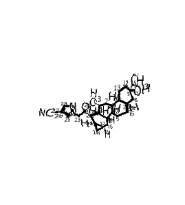 C[C@@H]1C[C@H]2[C@@H](CC[C@@H]3C[C@](C)(O)CC[C@@H]32)[C@@H]2C[C@H]3C[C@H]3[C@H](C(=O)Cn3cc(C#N)cn3)[C@H]21